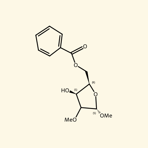 COC1[C@@H](OC)O[C@H](COC(=O)c2ccccc2)[C@@H]1O